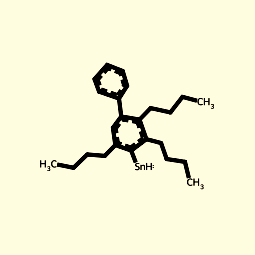 CCCCc1cc(-c2ccccc2)c(CCCC)c(CCCC)[c]1[SnH]